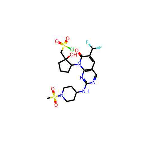 CS(=O)(=O)N1CCC(Nc2ncc3cc(C(F)F)c(=O)n(C4CCCC4(O)CS(=O)(=O)Cl)c3n2)CC1